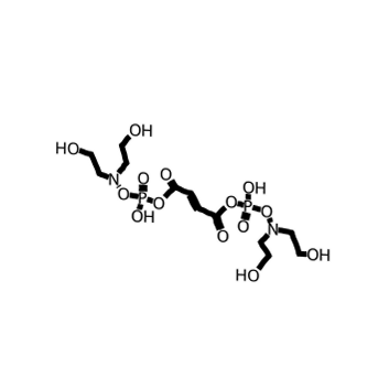 O=C(/C=C/C(=O)OP(=O)(O)ON(CCO)CCO)OP(=O)(O)ON(CCO)CCO